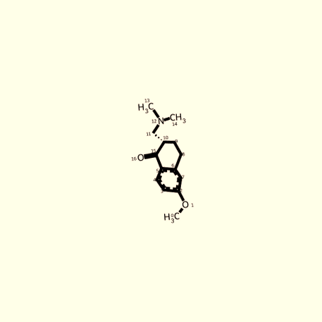 COc1ccc2c(c1)CC[C@@H](CN(C)C)C2=O